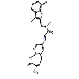 Cc1c(CN(C)C(=O)/C=C/c2cnc3c(c2)CC[C@H](N)C(=O)N3)oc2c(F)cccc12